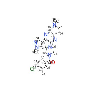 CCn1cc(-c2nc3c(nc2N2CCN(C(=O)c4ccc(Cl)c(C)c4)CC2)CCN(C(C)=O)C3)cn1